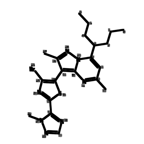 CCCC(CCC)c1cc(C)nc2c(-c3sc(-c4ncnn4C)nc3Br)c(C)nn12